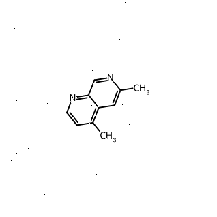 Cc1cc2c(C)ccnc2cn1